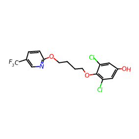 Oc1cc(Cl)c(OCCCCOc2ccc(C(F)(F)F)cn2)c(Cl)c1